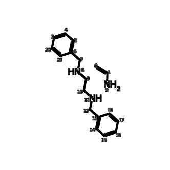 C=CN.c1ccc(CNCCNCc2ccccc2)cc1